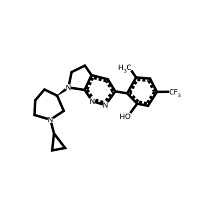 Cc1cc(C(F)(F)F)cc(O)c1-c1cc2c(nn1)N([C@@H]1CCCN(C3CC3)C1)CC2